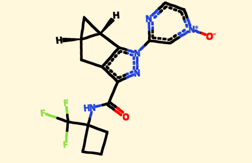 O=C(NC1(C(F)(F)F)CCC1)c1nn(-c2c[n+]([O-])ccn2)c2c1C[C@@H]1C[C@H]21